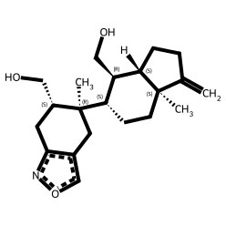 C=C1CC[C@H]2[C@H](CO)[C@@H]([C@@]3(C)Cc4conc4C[C@@H]3CO)CC[C@]12C